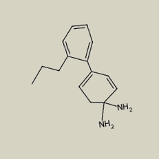 CCCc1ccccc1C1=CCC(N)(N)C=C1